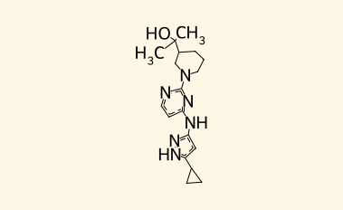 CC(C)(O)C1CCCN(c2nccc(Nc3cc(C4CC4)[nH]n3)n2)C1